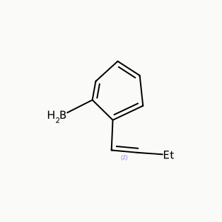 Bc1ccccc1/C=C\CC